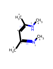 C/N=C(C)\C=C(\C)NC